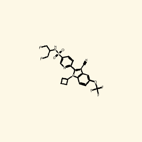 N#Cc1c(-c2ccc(S(=O)(=O)NC(CF)CF)cn2)n(C2CCC2)c2ccc(OC(F)(F)F)cc12